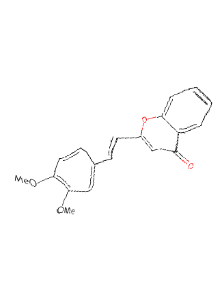 COc1ccc(/C=C/c2cc(=O)c3ccccc3o2)cc1OC